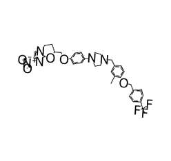 Cc1cc(CN2CCN(c3ccc(OCC4CCn5cc([N+](=O)[O-])nc5O4)cc3)CC2)ccc1OCc1ccc(C(F)(F)F)cc1